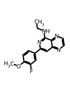 CCNc1nc(-c2ccc(OC)c(F)c2)cc2nccnc12